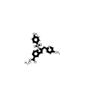 COC(=O)c1ccc2c(c1)cc(Cc1ccc(C)cn1)n2S(=O)(=O)c1ccc(C)cc1